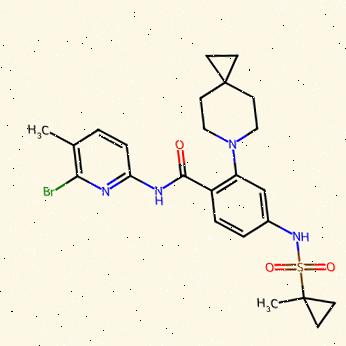 Cc1ccc(NC(=O)c2ccc(NS(=O)(=O)C3(C)CC3)cc2N2CCC3(CC2)CC3)nc1Br